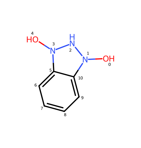 ON1NN(O)c2ccccc21